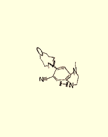 CN1CCNc2cc(C#N)c(N3CCOCC3)cc21